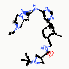 CCN1CCn2nc(Nc3cc(-c4ccc(CNC(=O)c5cnn(C(C)(C)C)c5)c(C)c4)ncn3)cc2C1